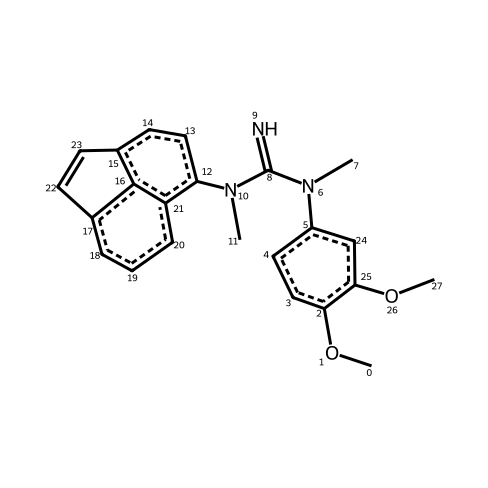 COc1ccc(N(C)C(=N)N(C)c2ccc3c4c(cccc24)C=C3)cc1OC